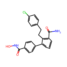 NC(=O)c1cccc(-c2ccc(C(=O)NO)cc2)c1CCc1ccc(Cl)cc1